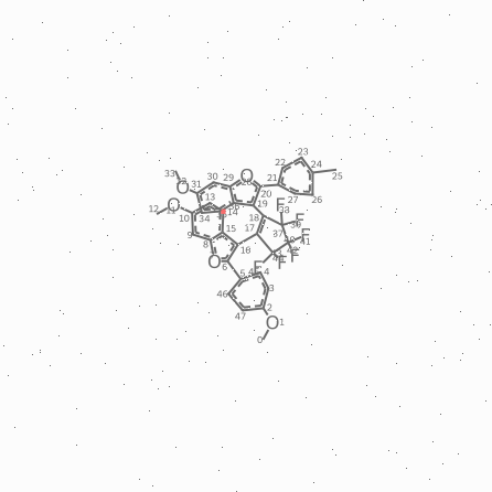 COc1ccc(-c2oc3cc(OC)ccc3c2C2=C(c3c(-c4ccc(C)cc4)oc4cc(OC)ccc34)C(F)(F)C(F)(F)C2(F)F)cc1